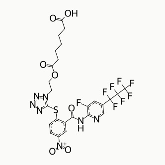 O=C(O)CCCCCC(=O)OCCn1nnnc1Sc1ccc([N+](=O)[O-])cc1C(=O)Nc1ncc(C(F)(F)C(F)(F)C(F)(F)F)cc1F